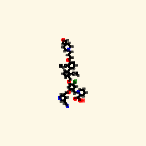 Cc1c(COc2cc(OCc3cncc(C#N)c3)c(CN3CCCC[C@H]3C(=O)O)cc2Cl)cccc1-c1cccc(OCCCN2CCC3(CC2)COC3)c1C